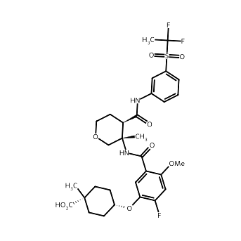 COc1cc(F)c(O[C@H]2CC[C@@](C)(C(=O)O)CC2)cc1C(=O)N[C@]1(C)COCC[C@H]1C(=O)Nc1cccc(S(=O)(=O)C(C)(F)F)c1